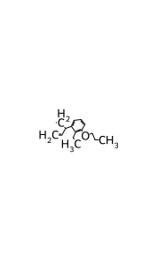 [CH2]C(C=C)c1cccc(OCCC)c1CC